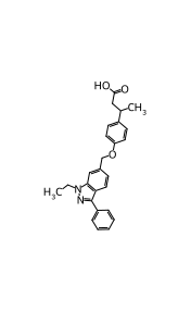 CCn1nc(-c2ccccc2)c2ccc(COc3ccc(C(C)CC(=O)O)cc3)cc21